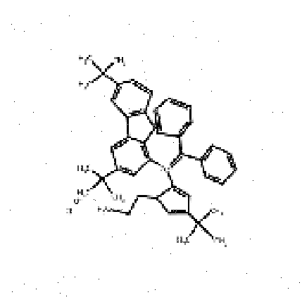 CCCC1C=C(C(C)(C)C)C=[C]1[Zr+2](=[C](c1ccccc1)c1ccccc1)[c]1cc(C(C)(C)C)cc2c1Cc1ccc(C(C)(C)C)cc1-2.[Cl-].[Cl-]